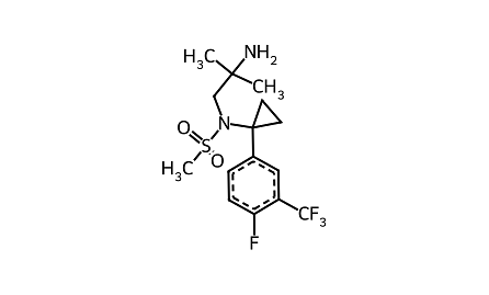 CC(C)(N)CN(C1(c2ccc(F)c(C(F)(F)F)c2)CC1)S(C)(=O)=O